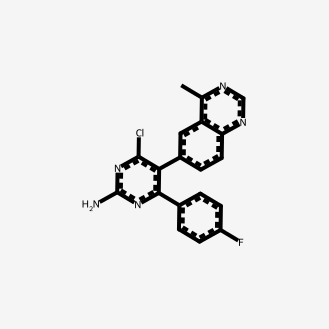 Cc1ncnc2ccc(-c3c(Cl)nc(N)nc3-c3ccc(F)cc3)cc12